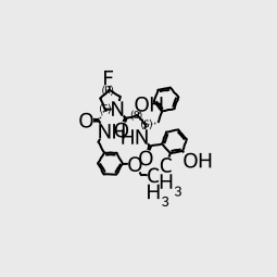 CCOc1cccc(CNC(=O)[C@@H]2C[C@@H](F)CN2C(=O)[C@@H](O)[C@H](Cc2ccccc2)NC(=O)c2cccc(O)c2C)c1